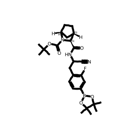 CC(C)(C)OC(=O)N1[C@@H]2CC[C@@H](C2)[C@H]1C(=O)NC(C#N)Cc1ccc(B2OC(C)(C)C(C)(C)O2)cc1F